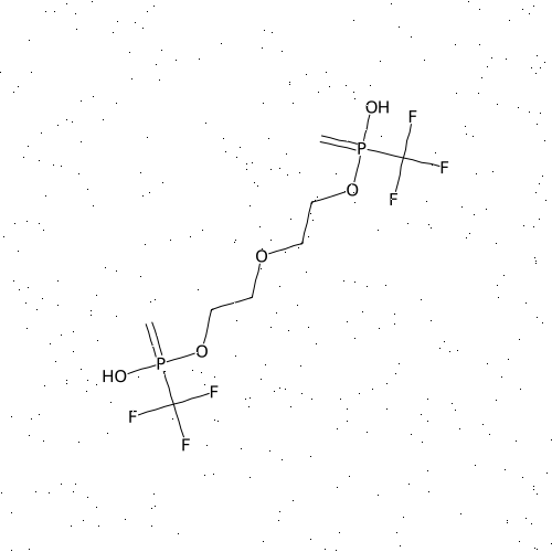 C=P(O)(OCCOCCOP(=C)(O)C(F)(F)F)C(F)(F)F